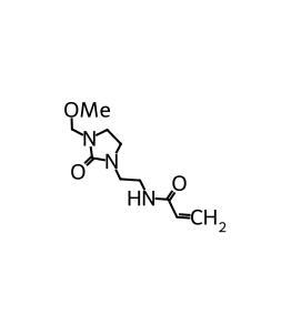 C=CC(=O)NCCN1CCN(COC)C1=O